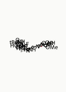 COc1ccc(C(=O)N2CCC3(CCN(CCc4ccc(-c5cc6c(-c7cc(F)cc(N(CNC(=O)CNC(=O)OC(C)(C)C)C(=O)c8ccc(C(C)(C)O)cc8F)c7C)ncnc6[nH]5)cc4)CC3)CC2)cc1N1CCC(=O)NC1=O